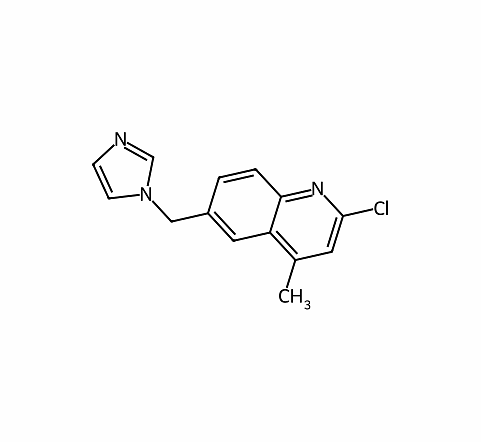 Cc1cc(Cl)nc2ccc(Cn3ccnc3)cc12